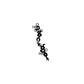 CCc1cc2c(cc1N1CC(CN3CCC(c4ccc5c(c4)CN(C4CCC(=O)NC4=O)C5=O)CC3)C1)C(C)(C)c1[nH]c3cc(C#N)ccc3c1C2=O